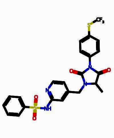 CC1C(=O)N(c2ccc(SC(F)(F)F)cc2)C(=O)N1Cc1ccnc(NS(=O)(=O)c2ccccc2)c1